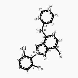 Fc1cccc(Cl)c1-n1cc2c(Nc3c[c]ncn3)ncc(F)c2n1